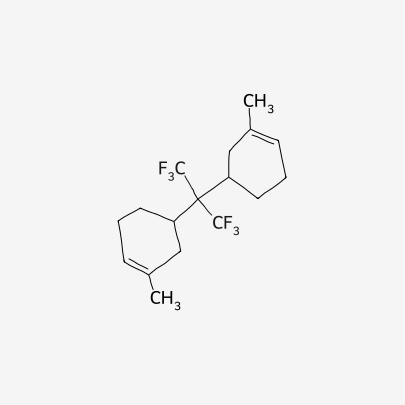 CC1=CCCC(C(C2CCC=C(C)C2)(C(F)(F)F)C(F)(F)F)C1